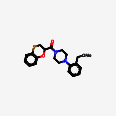 COCc1ccccc1N1CCN(C(=O)C2CSc3ccccc3O2)CC1